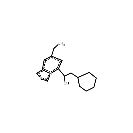 CCc1cc(C(O)CC2CCCCC2)n2cncc2c1